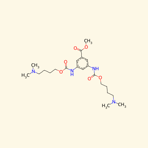 COC(=O)c1cc(NC(=O)OCCCCN(C)C)cc(NC(=O)OCCCCN(C)C)c1